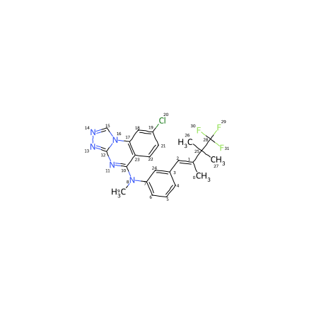 C/C(=C\c1cccc(N(C)c2nc3nncn3c3cc(Cl)ccc23)c1)C(C)(C)C(F)(F)F